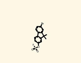 CC1(C)c2cc(Br)ccc2-c2ccc(OS(=O)(=O)F)cc21